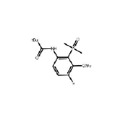 COc1c(F)ccc(NC(=O)C(C)(C)C)c1P(C)(C)=O